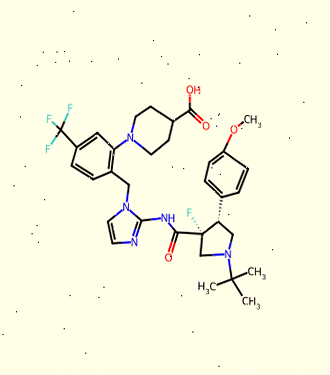 COc1ccc([C@@H]2CN(C(C)(C)C)C[C@@]2(F)C(=O)Nc2nccn2Cc2ccc(C(F)(F)F)cc2N2CCC(C(=O)O)CC2)cc1